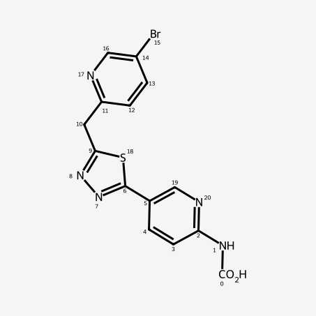 O=C(O)Nc1ccc(-c2nnc(Cc3ccc(Br)cn3)s2)cn1